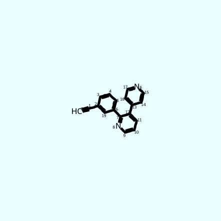 C#Cc1cccc(-c2ncccc2-c2ccncc2)c1